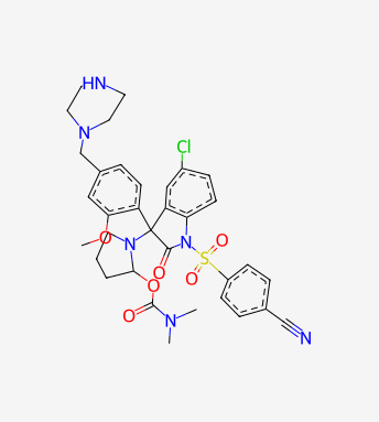 COc1cc(CN2CCNCC2)ccc1C1(N2CCCC2OC(=O)N(C)C)C(=O)N(S(=O)(=O)c2ccc(C#N)cc2)c2ccc(Cl)cc21